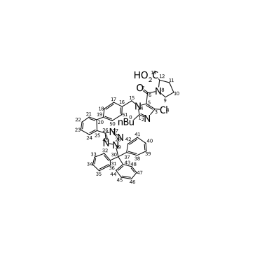 CCCCc1nc(Cl)c(C(=O)N2CCCC2C(=O)O)n1Cc1ccc(-c2ccccc2-c2nnn(C(c3ccccc3)(c3ccccc3)c3ccccc3)n2)cc1